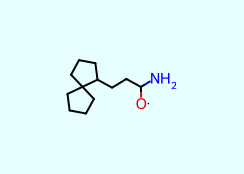 NC([O])CCC1CCCC12CCCC2